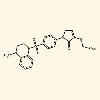 CSCOC1=CCN(c2ccc(S(=O)(=O)N3CCN(C)c4ccccc43)cc2)C1=O